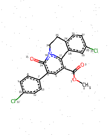 COC(=O)c1cc(-c2ccc(Cl)cc2)c(=O)n2c1-c1cc(Cl)ccc1CC2